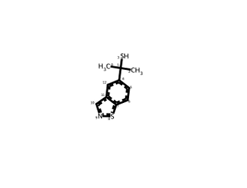 CC(C)(S)c1ccc2sncc2c1